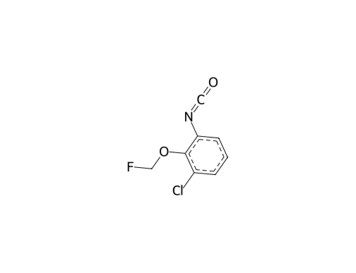 O=C=Nc1cccc(Cl)c1OCF